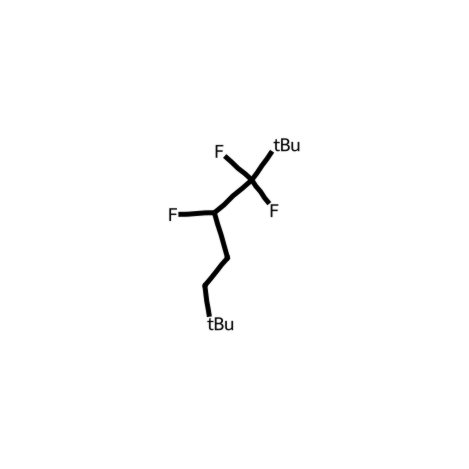 CC(C)(C)CCC(F)C(F)(F)C(C)(C)C